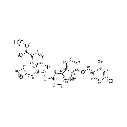 COC(=O)c1ccc2nc(CN3CCc4[nH]c5c(OCc6ccc(Cl)cc6F)cccc5c4C3)n(CC3CCO3)c2c1